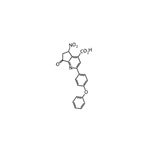 O=C(O)c1cc(-c2ccc(Oc3ccccc3)cc2)nc2c1C([N+](=O)[O-])CC2=O